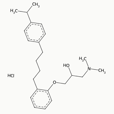 CC(C)c1ccc(CCCCc2ccccc2OCC(O)CN(C)C)cc1.Cl